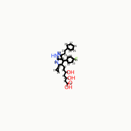 O=C(O)CC(O)CC(O)/C=C/c1c(C2CC2)nc2[nH]nc(CCc3ccccc3)c2c1-c1ccc(F)cc1